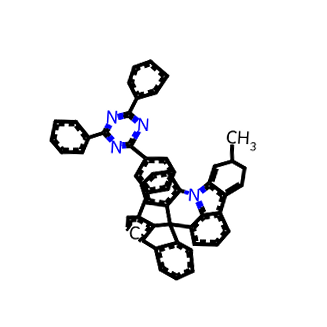 CC1C=c2c(c3cccc4c3n2-c2ccccc2C42c3ccccc3-c3cccc(-c4cccc(-c5nc(-c6ccccc6)nc(-c6ccccc6)n5)c4)c32)=CC1